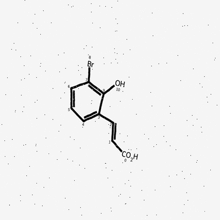 O=C(O)C=Cc1cccc(Br)c1O